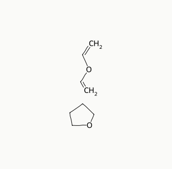 C1CCOC1.C=COC=C